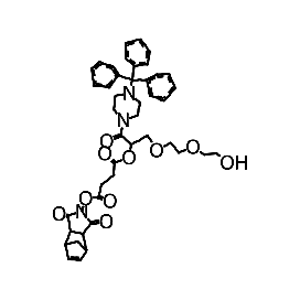 O=C(CCC(=O)ON1C(=O)C2C3C=CC(C3)C2C1=O)OC(COCCOCCO)C(=O)N1CCN(C(c2ccccc2)(c2ccccc2)c2ccccc2)CC1